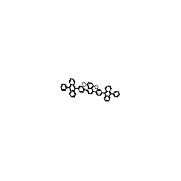 c1ccc(-c2c3ccccc3c(-c3ccc4c(c3)Oc3ccc5c6c(ccc-4c36)-c3ccc(-c4c6ccccc6c(-c6ccccc6)c6ccccc46)cc3O5)c3ccccc23)cc1